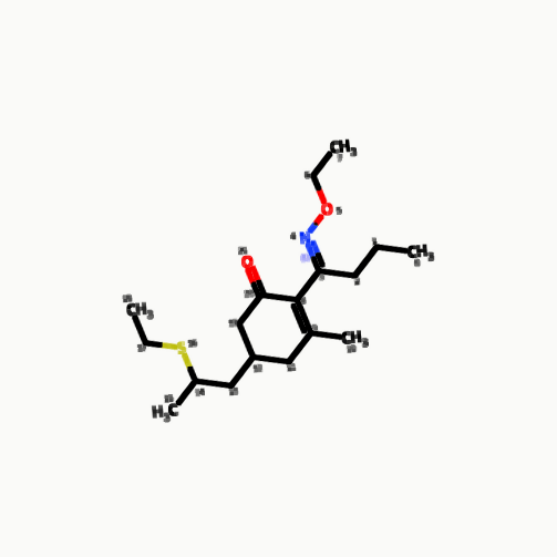 CCC/C(=N\OCC)C1=C(C)CC(CC(C)SCC)CC1=O